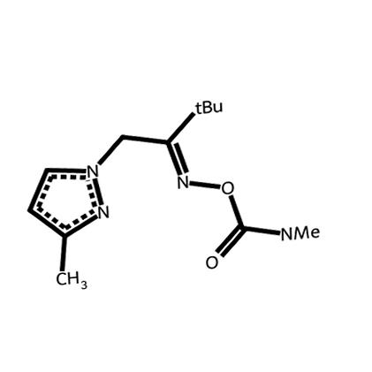 CNC(=O)ON=C(Cn1ccc(C)n1)C(C)(C)C